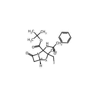 CC(=O)NC1(C(=O)OC(C)(C)C)N2C(=O)C[C@H]2SC1(C)CI.c1ccccc1